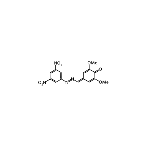 COC1=CC(=CN=Nc2cc([N+](=O)[O-])cc([N+](=O)[O-])c2)C=C(OC)C1=O